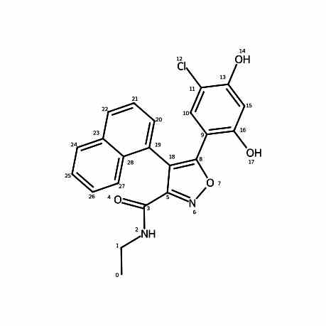 CCNC(=O)c1noc(-c2cc(Cl)c(O)cc2O)c1-c1cccc2ccccc12